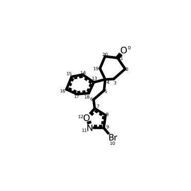 O=C1CCC(CCc2cc(Br)no2)(c2ccccc2)CC1